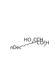 CCCCCCCCCCCCCCCCCCC(C)(C(=O)O)C(=O)O